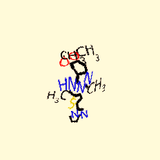 COc1cc2nc(C)nc(NC(C)c3ccc(-c4cnc5n4CCC5)s3)c2cc1OC